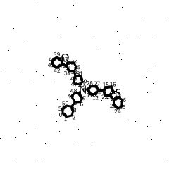 C1=CCC=C(C2CC=C(N(c3ccc(-c4ccc5sc6c(c5c4)C=CCC6)cc3)C3C=CC(C4C=c5c(oc6ccccc56)=CC4)=CC3)CC2)C=C1